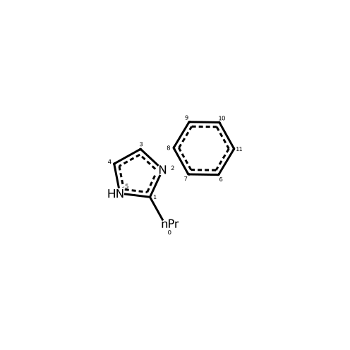 CCCc1ncc[nH]1.c1ccccc1